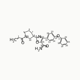 C=CC(=O)N1CCCC(c2nc(-c3ccc(Oc4ccccc4)cc3)c(C(N)=O)o2)C1